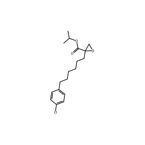 CC(C)OC(=O)C1(CCCCCCc2ccc(Cl)cc2)CO1